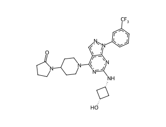 O=C1CCCN1C1CCN(c2nc(N[C@H]3C[C@@H](O)C3)nc3c2cnn3-c2cccc(C(F)(F)F)c2)CC1